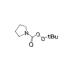 CC(C)(C)OOC(=O)N1CCCC1